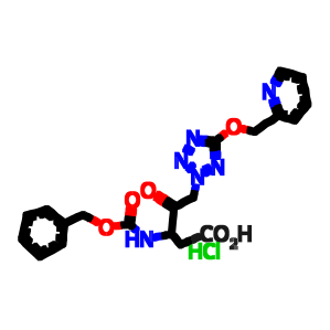 Cl.O=C(O)CC(NC(=O)OCc1ccccc1)C(=O)Cn1nnc(OCc2ccccn2)n1